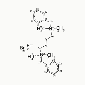 C[N+](C)(CCCC[N+](C)(C)Cc1ccccc1)Cc1ccccc1.[Br-].[Br-]